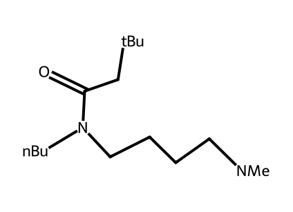 CCCCN(CCCCNC)C(=O)CC(C)(C)C